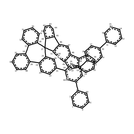 c1ccc(-c2cc(-c3ccc(-c4cccnc4)cc3)nc(-c3ccc4c(c3)C3(c5ccccc5-c5ccccc5-4)c4ccccc4-c4cc5c(cc43)sc3ccccc35)n2)cc1